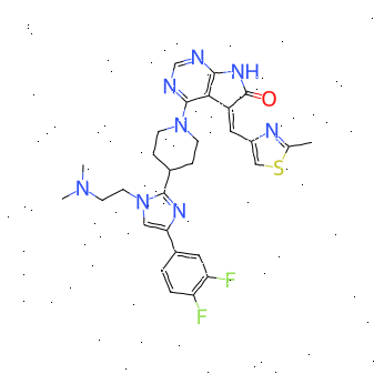 Cc1nc(C=C2C(=O)Nc3ncnc(N4CCC(c5nc(-c6ccc(F)c(F)c6)cn5CCN(C)C)CC4)c32)cs1